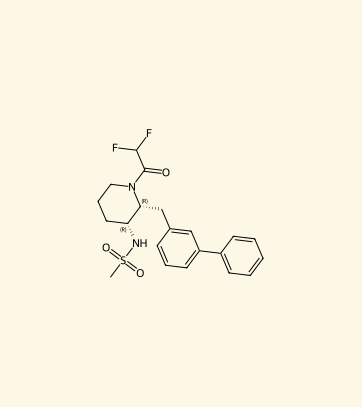 CS(=O)(=O)N[C@@H]1CCCN(C(=O)C(F)F)[C@@H]1Cc1cccc(-c2ccccc2)c1